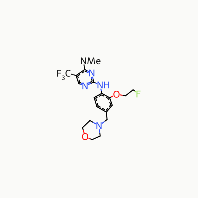 CNc1nc(Nc2ccc(CN3CCOCC3)cc2OCCF)ncc1C(F)(F)F